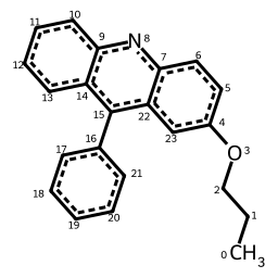 CCCOc1ccc2nc3ccccc3c(-c3ccccc3)c2c1